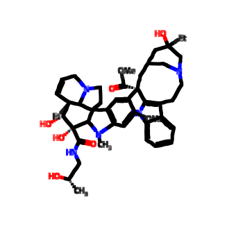 CCC1(O)CC2CN(CCc3c([nH]c4ccccc34)[C@@](C(=O)OC)(c3cc4c(cc3OC)N(C)C3C45CCN4CC=C[C@](CC)(C45)[C@@H](O)[C@]3(O)C(=O)NC[C@H](C)O)C2)C1